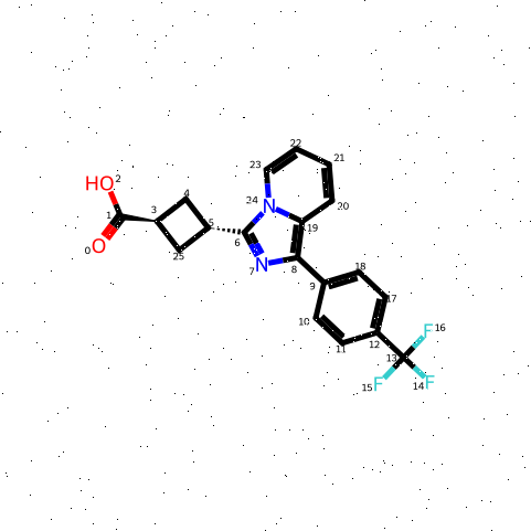 O=C(O)[C@H]1C[C@H](c2nc(-c3ccc(C(F)(F)F)cc3)c3ccccn32)C1